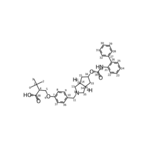 CC(C)(C)C(COc1ccc(CN2C[C@H]3CC(OC(=O)Nc4ccccc4-c4ccccc4)C[C@H]3C2)cc1)C(=O)O